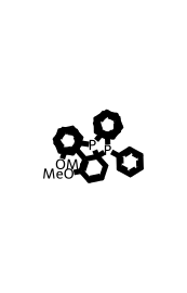 COC1=C(c2ccccc2OC)C(P(c2ccccc2)c2ccccc2)(P(c2ccccc2)c2ccccc2)CC=C1